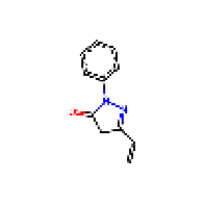 C=CC1=NN(c2ccccc2)C(=O)C1